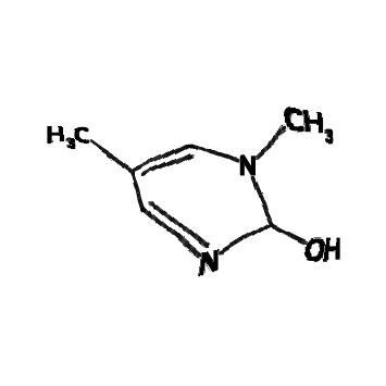 CC1=CN(C)C(O)N=C1